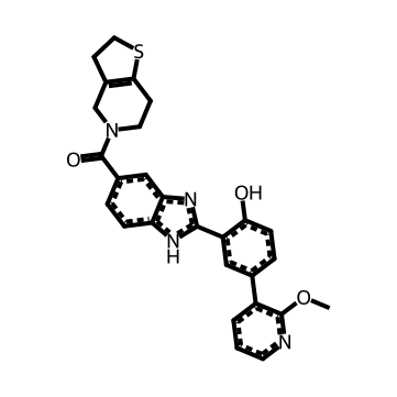 COc1ncccc1-c1ccc(O)c(-c2nc3cc(C(=O)N4CCC5=C(CCS5)C4)ccc3[nH]2)c1